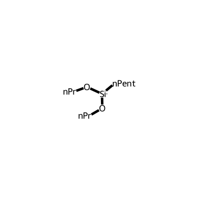 CCCCC[Si](OCCC)OCCC